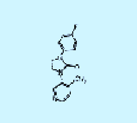 Cc1ccncc1N1CCN(c2ccc(F)cc2)C1=O